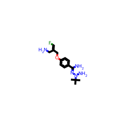 CC(C)(C)N(N)/N=C(\N)c1ccc(OC/C(=C/F)CN)cc1